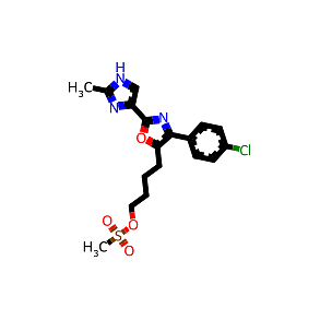 Cc1nc(-c2nc(-c3ccc(Cl)cc3)c(CCCCOS(C)(=O)=O)o2)c[nH]1